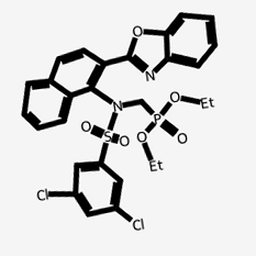 CCOP(=O)(CN(c1c(-c2nc3ccccc3o2)ccc2ccccc12)S(=O)(=O)c1cc(Cl)cc(Cl)c1)OCC